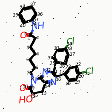 O=C(CCCCCCN1C(=O)C(O)Cc2nc(-c3ccc(Cl)cc3)c(-c3ccc(Cl)cc3)nc21)Nc1ccccc1